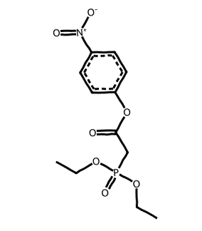 CCOP(=O)(CC(=O)Oc1ccc([N+](=O)[O-])cc1)OCC